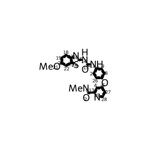 CNC(=O)c1cc(Oc2ccc(NC(=O)Nc3nc4ccc(OC)cc4s3)cc2)ccn1